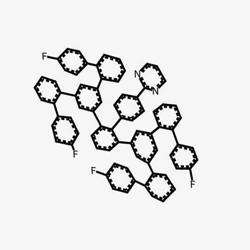 Fc1ccc(-c2ccccc2-c2cc(-c3ccccc3-c3ccc(F)cc3)cc(-c3cccc(-c4cc(-c5ccccc5-c5ccc(F)cc5)cc(-c5ccccc5-c5ccc(F)cc5)c4)c3-c3ccc(-c4ncccn4)cc3)c2)cc1